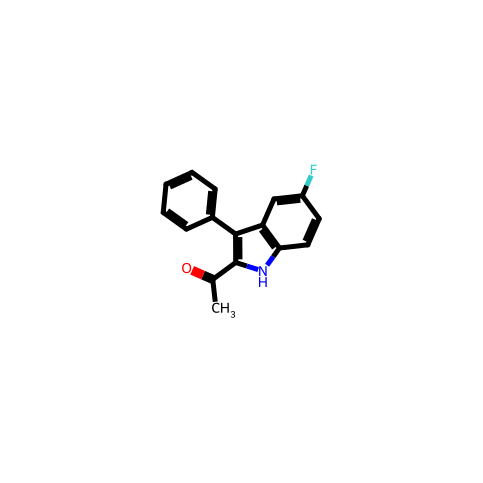 CC(=O)c1[nH]c2ccc(F)cc2c1-c1ccccc1